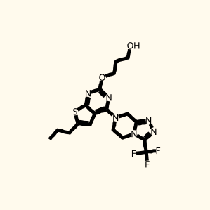 CCCc1cc2c(N3CCn4c(nnc4C(F)(F)F)C3)nc(OCCCO)nc2s1